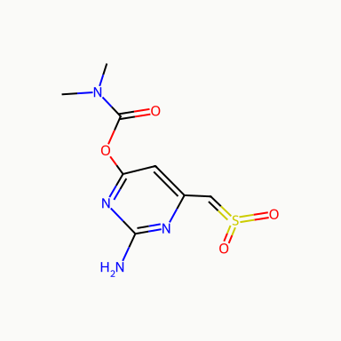 CN(C)C(=O)Oc1cc(C=S(=O)=O)nc(N)n1